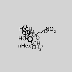 CCCCCCC(C)(C)c1cc(O)c([C@H]2CC(=O)[C@H]3C[C@@H]2C3(C)C)c(OC(=O)CCCO[N+](=O)[O-])c1